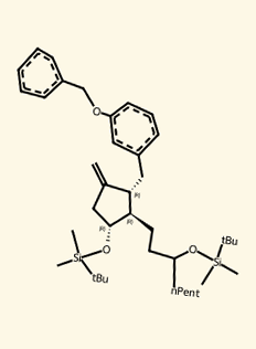 C=C1C[C@@H](O[Si](C)(C)C(C)(C)C)[C@H](CCC(CCCCC)O[Si](C)(C)C(C)(C)C)[C@H]1Cc1cccc(OCc2ccccc2)c1